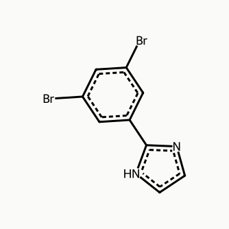 Brc1cc(Br)cc(-c2ncc[nH]2)c1